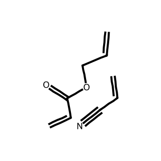 C=CC#N.C=CCOC(=O)C=C